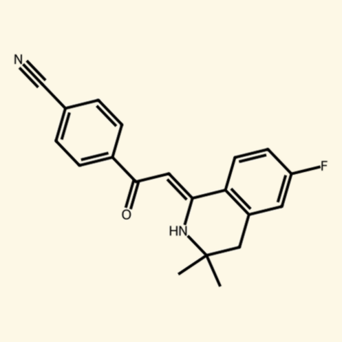 CC1(C)Cc2cc(F)ccc2/C(=C/C(=O)c2ccc(C#N)cc2)N1